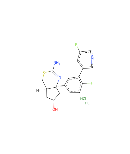 Cl.Cl.NC1=N[C@@]2(c3ccc(F)c(-c4cncc(F)c4)c3)C[C@H](O)C[C@H]2CS1